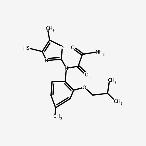 Cc1ccc(N(C(=O)C(N)=O)c2nc(S)c(C)s2)c(OCC(C)C)c1